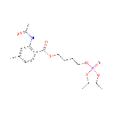 CCOP(=O)(OCC)OCCCCOC(=O)c1ccc(C)cc1NC(C)=O